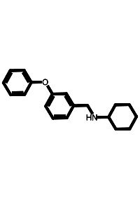 c1ccc(Oc2cccc(CNC3CCCCC3)c2)cc1